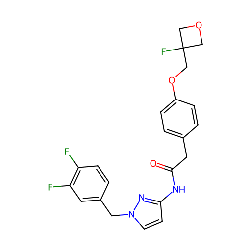 O=C(Cc1ccc(OCC2(F)COC2)cc1)Nc1ccn(Cc2ccc(F)c(F)c2)n1